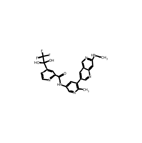 CNc1cc2ncc(-c3cc(NC(=O)c4cc(C(O)(O)C(F)(F)F)ccn4)cnc3C)cc2cn1